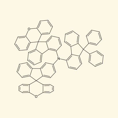 c1ccc(C2(c3ccccc3)c3ccccc3-c3c(N(c4ccc5c(c4)-c4ccccc4C54c5ccccc5Oc5ccccc54)c4cccc5c4-c4ccccc4C54c5ccccc5Oc5ccccc54)cccc32)cc1